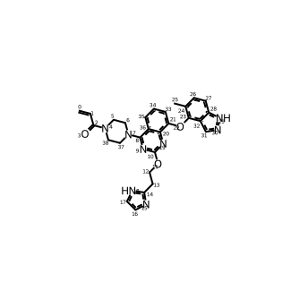 C=CC(=O)N1CCN(c2nc(OCCc3ncc[nH]3)nc3c(Oc4c(C)ccc5[nH]ncc45)cccc23)CC1